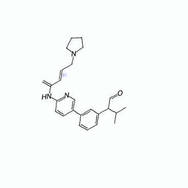 C=C(/C=C/CN1CCCC1)Nc1ccc(-c2cccc(C(C=O)C(C)C)c2)cn1